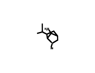 CC(C)N1CC2CC(N(C)C)C1C2N